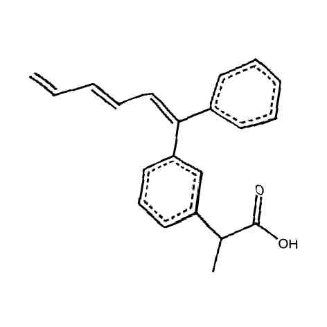 C=CC=CC=C(c1ccccc1)c1cccc(C(C)C(=O)O)c1